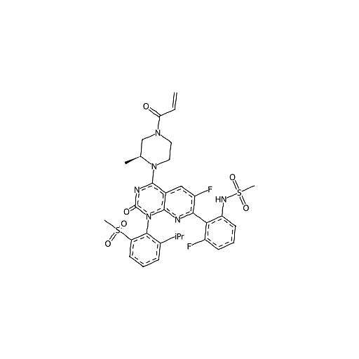 C=CC(=O)N1CCN(c2nc(=O)n(-c3c(C(C)C)cccc3S(C)(=O)=O)c3nc(-c4c(F)cccc4NS(C)(=O)=O)c(F)cc23)[C@@H](C)C1